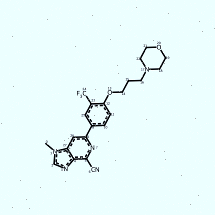 Cn1cnc2c(C#N)nc(-c3ccc(OCCCN4CCOCC4)c(C(F)(F)F)c3)cc21